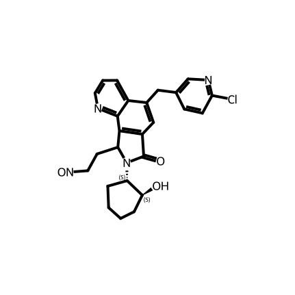 O=NCCC1c2c(cc(Cc3ccc(Cl)nc3)c3cccnc23)C(=O)N1[C@H]1CCCC[C@@H]1O